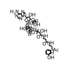 CC(=O)[SH](CCNC(=O)CCNC(=O)C(O)C(C)(C)COP(=O)(O)OP(=O)(O)OC[C@H]1O[C@@H](n2cnc3c(N)ncnc32)[C@H](O)[C@@H]1OP(=O)(O)O)c1cccc(O)c1